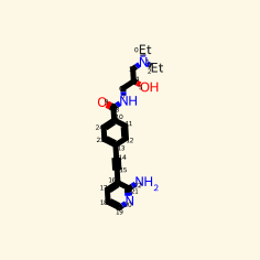 CCN(CC)CC(O)CNC(=O)c1ccc(C#Cc2cccnc2N)cc1